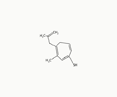 C=C(C)CC1=C(C)C=C(S)C=CC1